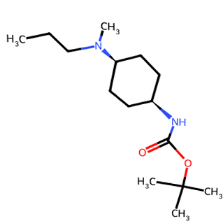 CCCN(C)[C@H]1CC[C@@H](NC(=O)OC(C)(C)C)CC1